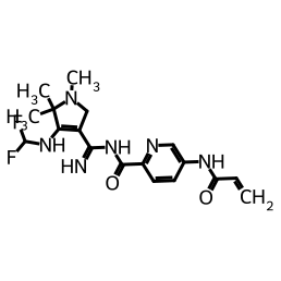 C=CC(=O)Nc1ccc(C(=O)NC(=N)C2=C(NC(F)F)C(C)(C)N(C)C2)nc1